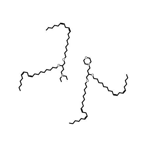 CCCCC/C=C\C/C=C\CCCCCCCCOCC(CCN(CC)CC)OCCCCCCCC/C=C\C/C=C\CCCCC.CCCCC/C=C\C/C=C\CCCCCCCCOCC(CCN1CCOCC1)OCCCCCCCC/C=C\C/C=C\CCCCC